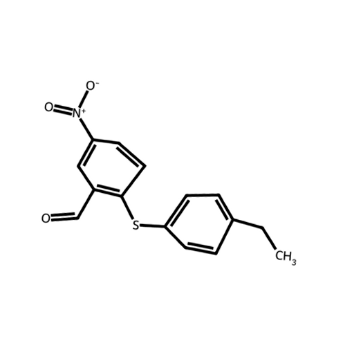 CCc1ccc(Sc2ccc([N+](=O)[O-])cc2C=O)cc1